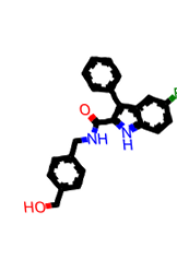 O=C(NCc1ccc(CO)cc1)c1[nH]c2ccc(F)cc2c1-c1ccccc1